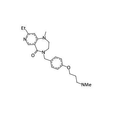 CCc1cc2c(cn1)C(=O)N(Cc1ccc(OCCCNC)cc1)CCN2C